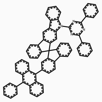 c1ccc(-c2nc(-c3ccccc3)nc(-n3c4ccccc4c4cc5c(cc43)C3(c4ccccc4-c4ccc(-c6c7ccccc7c(-c7ccccc7)c7ccccc67)cc43)c3ccccc3-5)n2)cc1